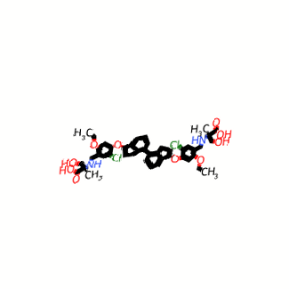 CCOc1cc(O[C@H]2CCc3c(-c4cccc5c4CC[C@H]5Oc4cc(OCC)c(CN[C@@](C)(CO)C(=O)O)cc4Cl)cccc32)c(Cl)cc1CN[C@@](C)(CO)C(=O)O